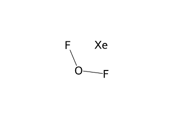 FOF.[Xe]